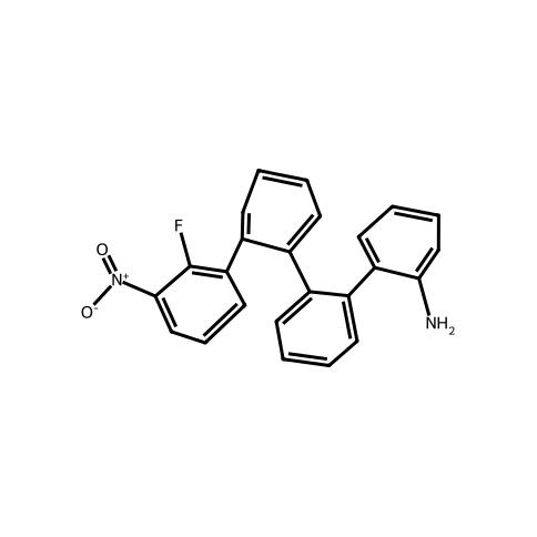 Nc1ccccc1-c1ccccc1-c1ccccc1-c1cccc([N+](=O)[O-])c1F